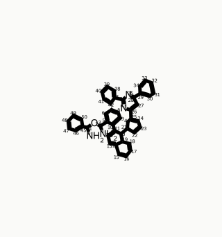 NC(OC(N)c1ccccc1C1=CC=C2C=CC=CC2C1C1C=CC=C(c2cc(-c3ccccc3)nc(-c3ccccc3)n2)C1)c1ccccc1